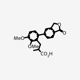 COc1ccc(-c2ccc3c(c2)COC3=O)c(CC(C)C(=O)O)c1OC